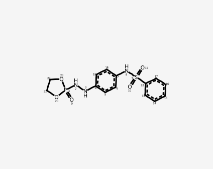 O=P1(NNc2ccc(NS(=O)(=O)c3ccccc3)cc2)OCCO1